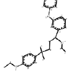 CCOc1ccc(C(C)(C)CCC(OCC)c2cccc(Oc3ccccc3)c2)cc1